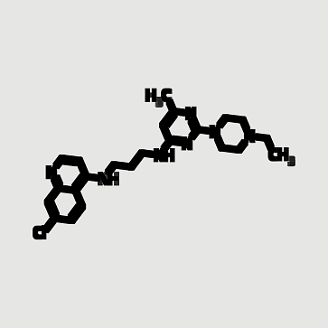 CCN1CCN(c2nc(C)cc(NCCCNc3ccnc4cc(Cl)ccc34)n2)CC1